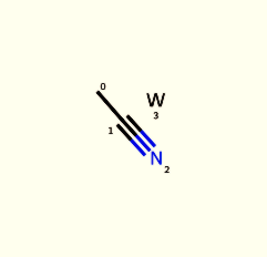 CC#N.[W]